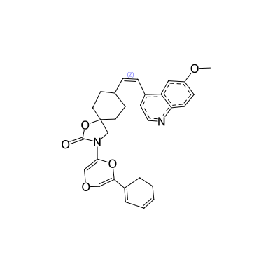 COc1ccc2nccc(/C=C\C3CCC4(CC3)CN(C3=COC=C(C5=CC=CCC5)O3)C(=O)O4)c2c1